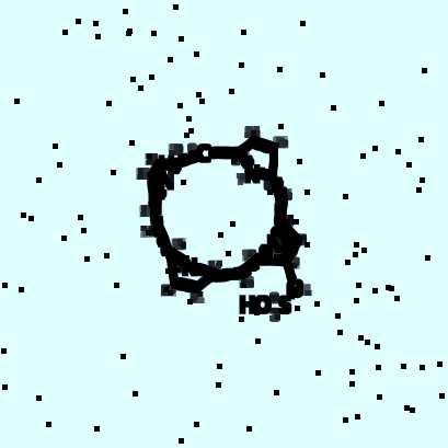 O=S(=O)(O)Oc1cc2cc3nc(cc4ccc(cc5nc(cc1[nH]2)C=C5)[nH]4)C=C3